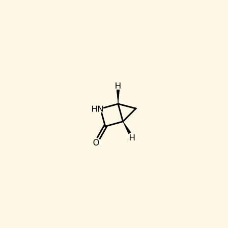 O=C1N[C@@H]2C[C@H]12